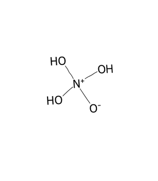 [O-][N+](O)(O)O